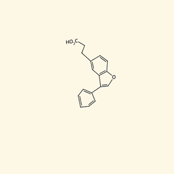 O=C(O)CCc1ccc2occ(-c3ccccc3)c2c1